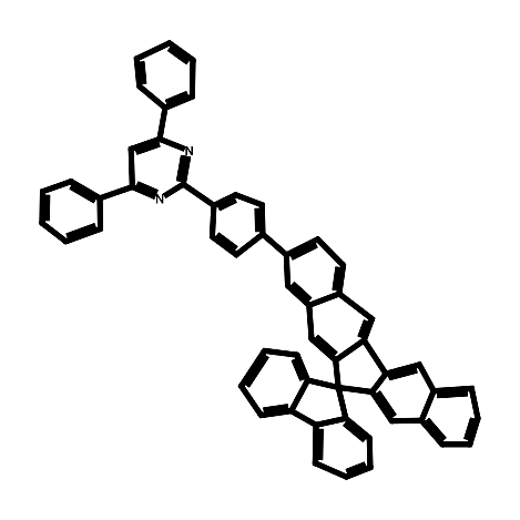 c1ccc(-c2cc(-c3ccccc3)nc(-c3ccc(-c4ccc5cc6c(cc5c4)C4(c5ccccc5-c5ccccc54)c4cc5ccccc5cc4-6)cc3)n2)cc1